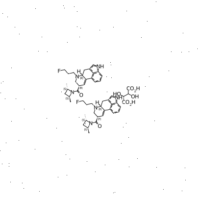 C[C@H]1C[C@H](C)N1C(=O)[C@@H]1C=C2c3cccc4[nH]cc(c34)C[C@H]2N(CCCF)C1.C[C@H]1C[C@H](C)N1C(=O)[C@@H]1C=C2c3cccc4[nH]cc(c34)C[C@H]2N(CCCF)C1.O=C(O)C(O)C(O)C(=O)O